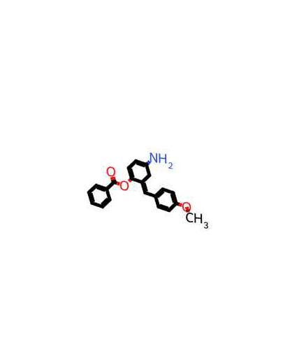 COc1ccc(C=C2CC(N)=CC=C2OC(=O)c2ccccc2)cc1